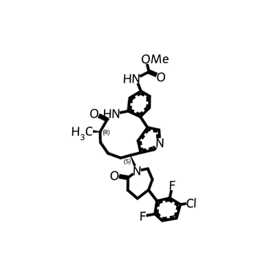 COC(=O)Nc1ccc2c(c1)NC(=O)[C@H](C)CCC[C@H](N1CCC(c3c(F)ccc(Cl)c3F)CCC1=O)c1cncc-2c1